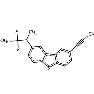 CC#Cc1ccc2sc3ccc(C(C)C(F)(F)C=O)cc3c2c1